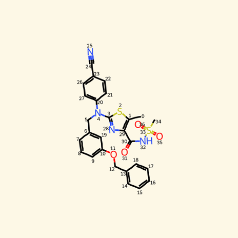 Cc1sc(N(Cc2cccc(OCc3ccccc3)c2)c2ccc(C#N)cc2)nc1C(=O)NS(C)(=O)=O